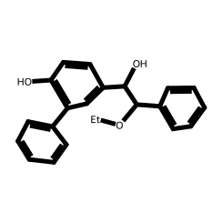 CCOC(c1ccccc1)C(O)c1ccc(O)c(-c2ccccc2)c1